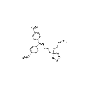 C=CCSC1(CCON=C(c2ccc(OC)cc2)c2ccc(OC)cc2)N=CN=N1